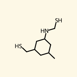 CC1CC(CS)CC(NCS)C1